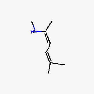 CN/C(C)=C\C=C(C)C